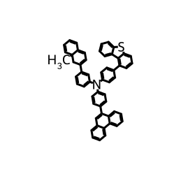 CC12C=CC=CC1=CC=C(c1cccc(N(c3ccc(-c4cc5ccccc5c5ccccc45)cc3)c3ccc(-c4cccc5sc6ccccc6c45)cc3)c1)C2